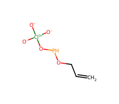 C=CCOPO[Cl+3]([O-])([O-])[O-]